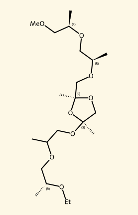 CCO[C@H](C)COC(C)CO[C@]1(C)CO[C@](C)(CO[C@H](C)CO[C@H](C)COC)O1